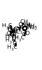 CCCC(C)C1(CC)C(=O)N=C([O-])NC1=O.CCOC(=O)C1=C[C@@H](OC(CC)CC)[C@H](NC(C)=O)[C@@H](N)C1.CCOCC.[Na+]